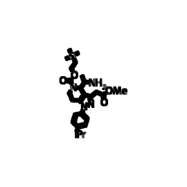 COC(=O)Cc1nn(-c2ccc(C(C)C)cc2)c2c1C(C(C)N)N(C(=O)OCC[Si](C)(C)C)CC2